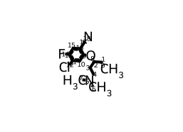 CCC(CCN(C)C)Oc1cc(Cl)c(F)cc1C#N